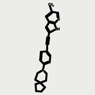 Cc1cnc2[nH]c(C#Cc3ccc(N4CCC5(CCCC5)CC4)cc3)cc2c1